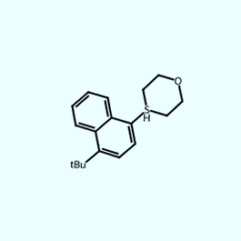 CC(C)(C)c1ccc([SH]2CCOCC2)c2ccccc12